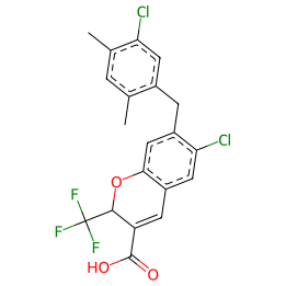 Cc1cc(C)c(Cc2cc3c(cc2Cl)C=C(C(=O)O)C(C(F)(F)F)O3)cc1Cl